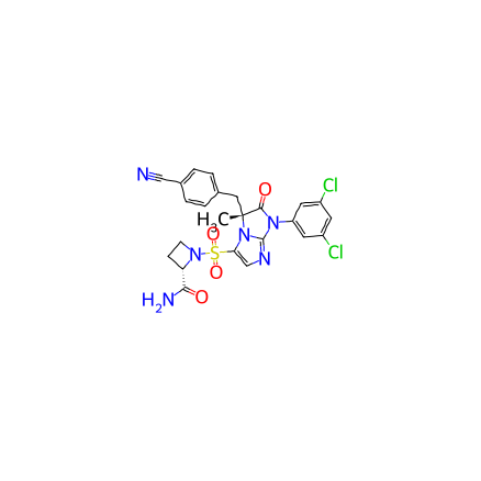 C[C@@]1(Cc2ccc(C#N)cc2)C(=O)N(c2cc(Cl)cc(Cl)c2)c2ncc(S(=O)(=O)N3CC[C@H]3C(N)=O)n21